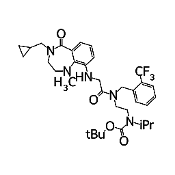 CC(C)N(CCN(Cc1ccccc1C(F)(F)F)C(=O)CNc1cccc2c1N(C)CCN(CC1CC1)C2=O)C(=O)OC(C)(C)C